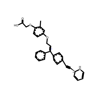 Cc1cc(OC/C=C(\c2ccccc2)c2ccc(C#C[C@@H]3C=CC=CN3)cc2)ccc1OCC(=O)O